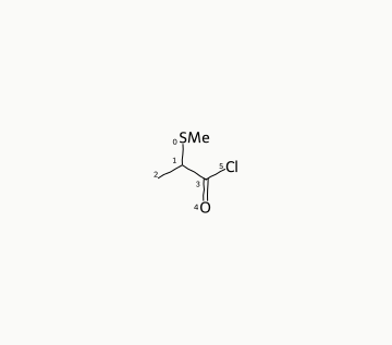 CSC(C)C(=O)Cl